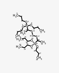 CCCO[Si](OCCC)(OCCC)C(C)SSSC(C)[Si](OCCC)(OCCC)OCCC